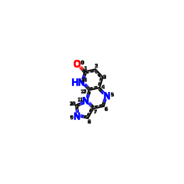 O=c1ccc2ncc3cncn3c2[nH]1